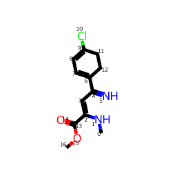 CN/C(=C\C(=N)C1=CC=C(Cl)CC1)C(=O)OC